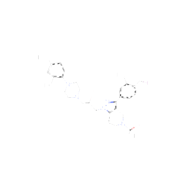 CC(=O)N1CCc2c(c(-c3ccc(CI)c(C)c3)nn2CC(O)CN2CCN(c3ccc(C)cc3C)CC2)C1